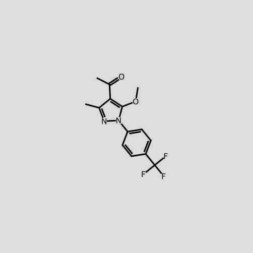 COc1c(C(C)=O)c(C)nn1-c1ccc(C(F)(F)F)cc1